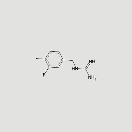 Cc1ccc(CNC(=N)N)cc1F